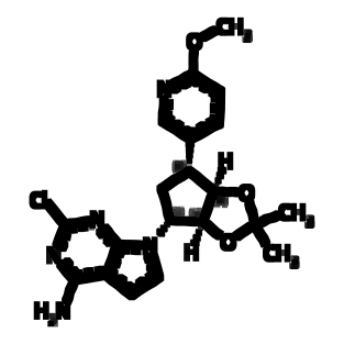 COc1ccc([C@H]2C[C@@H](n3ccc4c(N)nc(Cl)nc43)[C@@H]3OC(C)(C)O[C@@H]32)cn1